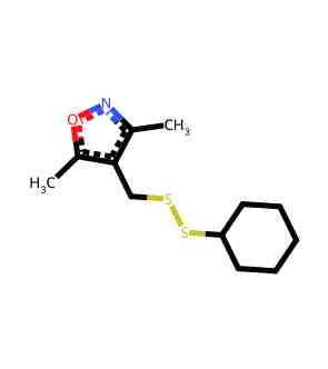 Cc1noc(C)c1CSSC1CCCCC1